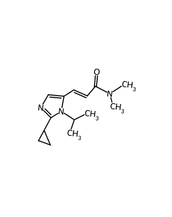 CC(C)n1c(C=CC(=O)N(C)C)cnc1C1CC1